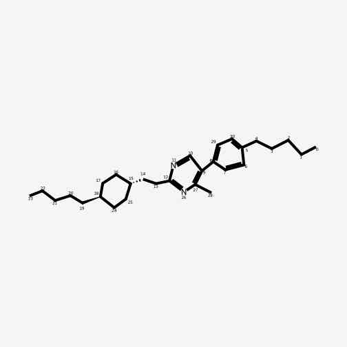 CCCCCc1ccc(-c2cnc(CC[C@H]3CC[C@H](CCCCC)CC3)nc2C)cc1